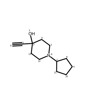 C#CC1(O)CCN(C2CCCC2)CC1